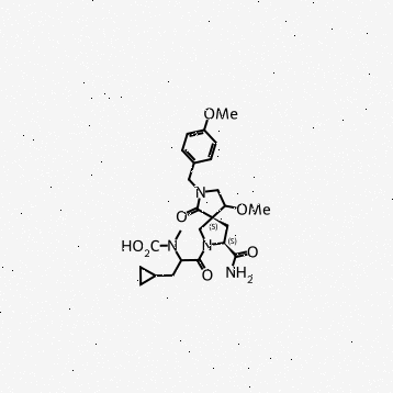 COc1ccc(CN2CC(OC)[C@@]3(C[C@@H](C(N)=O)N(C(=O)C(CC4CC4)N(C)C(=O)O)C3)C2=O)cc1